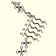 NCCN.NCCN.NCCN.NCCN.NCCN.NCCN.O=S(=O)([O-])[O-].O=S(=O)([O-])[O-].O=S(=O)([O-])[O-].[Fe+3].[Fe+3]